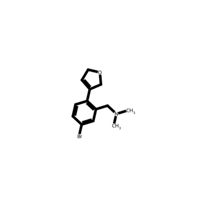 CN(C)Cc1cc(Br)ccc1C1=CCOC1